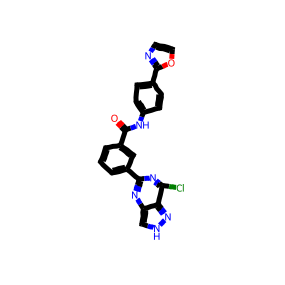 O=C(Nc1ccc(-c2ncco2)cc1)c1cccc(-c2nc(Cl)c3n[nH]cc3n2)c1